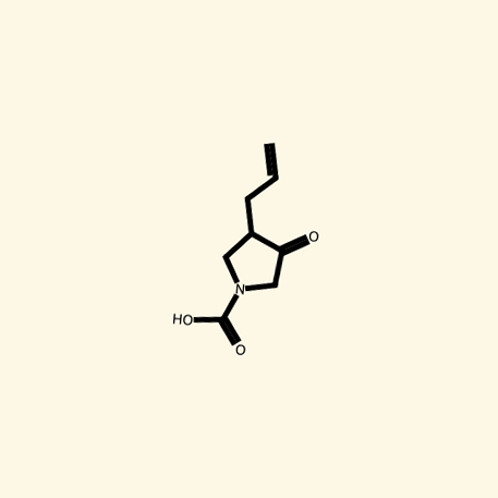 C=CCC1CN(C(=O)O)CC1=O